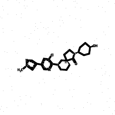 Cn1cc(-c2cnc(N3CCC[C@@]4(CCN([C@H]5CC[C@H](O)CC5)C4=O)C3)c(Cl)c2)cn1